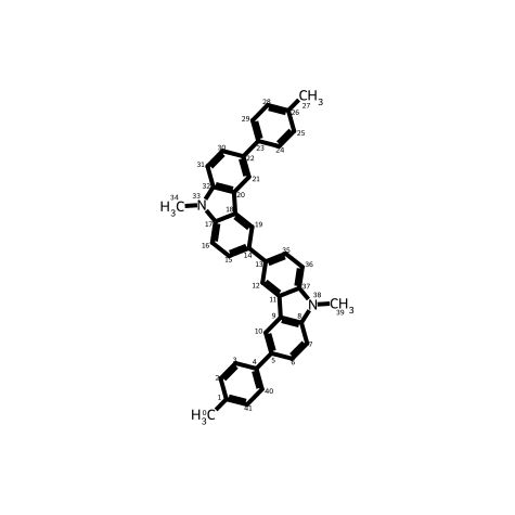 Cc1ccc(-c2ccc3c(c2)c2cc(-c4ccc5c(c4)c4cc(-c6ccc(C)cc6)ccc4n5C)ccc2n3C)cc1